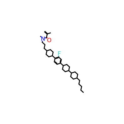 C=C(C)C(=O)N(C)CCCC1CCC(c2ccc(C3CCC(C4CCC(CCCCC)CC4)CC3)cc2F)CC1